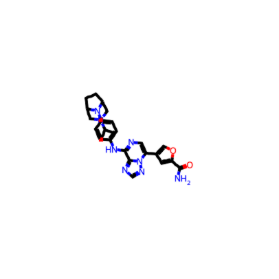 CC(C)N1CC2CCC(C1)N2c1ccc(Nc2ncc(-c3coc(C(N)=O)c3)n3ncnc23)cc1